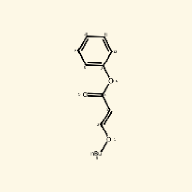 CCCCOC=CC(=O)Oc1ccccc1